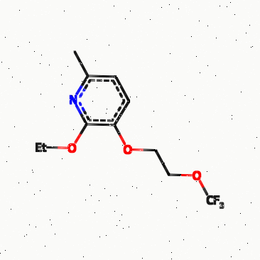 CCOc1nc(C)ccc1OCCOC(F)(F)F